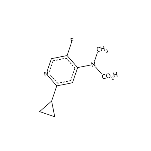 CN(C(=O)O)c1cc(C2CC2)ncc1F